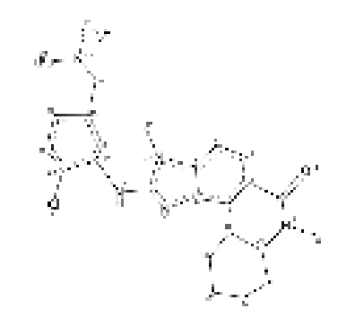 CN(C(=O)c1ccc2c(c1)nc(Nc1cc(CN(C(=O)O)C(C)(C)C)ccc1Cl)n2C)C1CCCCC1